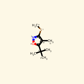 CSc1noc(C(C)(C)C)c1C